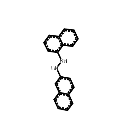 c1ccc2cc(NNc3cccc4ccccc34)ccc2c1